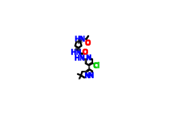 CC(=O)N[C@H]1CC[C@H](NC(=O)Nc2cc(-c3cnn4c3CC(C)(C)C4)c(Cl)cn2)C1